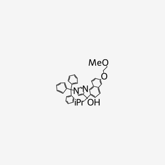 COCCOc1ccc2cc(C(O)(c3cn(C(c4ccccc4)(c4ccccc4)c4ccccc4)cn3)C(C)C)ccc2c1